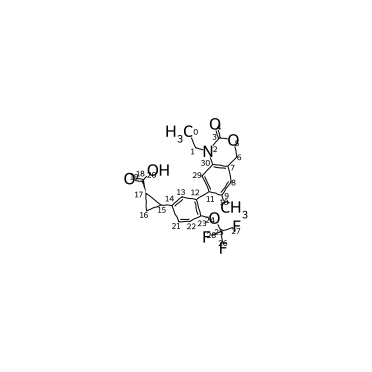 CCN1C(=O)OCc2cc(C)c(-c3cc(C4C[C@H]4C(=O)O)ccc3OC(F)(F)F)cc21